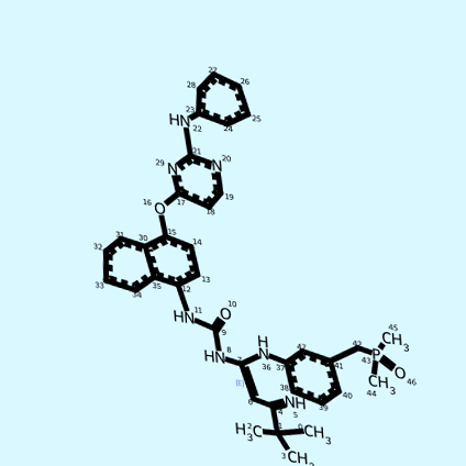 CC(C)(C)C(=N)/C=C(/NC(=O)Nc1ccc(Oc2ccnc(Nc3ccccc3)n2)c2ccccc12)Nc1cccc(CP(C)(C)=O)c1